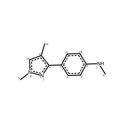 CNc1ccc(-c2nn(C)cc2C)cc1